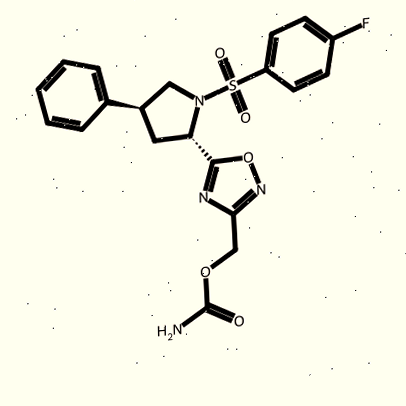 NC(=O)OCc1noc([C@@H]2C[C@@H](c3ccccc3)CN2S(=O)(=O)c2ccc(F)cc2)n1